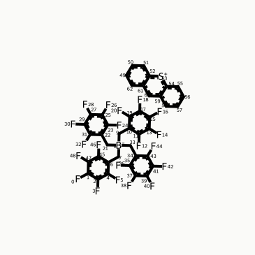 Fc1c(F)c(F)c(C[B-](Cc2c(F)c(F)c(F)c(F)c2F)(Cc2c(F)c(F)c(F)c(F)c2F)Cc2c(F)c(F)c(F)c(F)c2F)c(F)c1F.c1ccc2[s+]c3ccccc3cc2c1